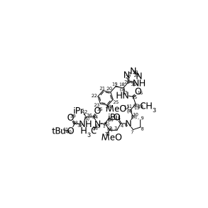 CC[C@H](C)[C@@H]([C@@H](CC(=O)N1CCC[C@H]1[C@H](OC)[C@@H](C)C(=O)N[C@@H](Cc1ccccc1)c1nnn[nH]1)OC)N(C)C(=O)[C@@H](NC(=O)OC(C)(C)C)C(C)C